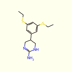 CCSc1cc(SCC)cc(C2CN=C(N)NC2)c1